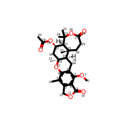 COc1c2c(c(C)c3c1C(=O)OC3)O[C@@]1(C)C[C@@H](OC(C)=O)[C@H]3C(C)(C)OC(=O)CC[C@]3(C)[C@H]1C2